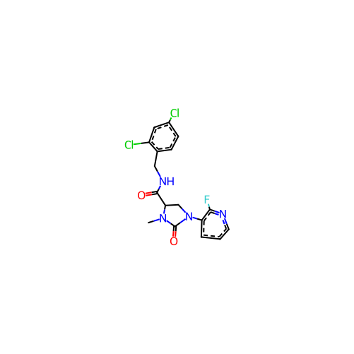 CN1C(=O)N(c2cccnc2F)CC1C(=O)NCc1ccc(Cl)cc1Cl